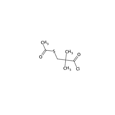 CC(=O)SCC(C)(C)C(=O)Cl